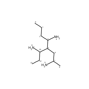 CCCC(N)C(CC(C)N)C(N)CC